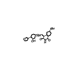 CC(C)(C)c1ccc2c(c1)/C(=C/NCc1ccc(-c3ccoc3)c(O)c1)C(=O)NC2=O